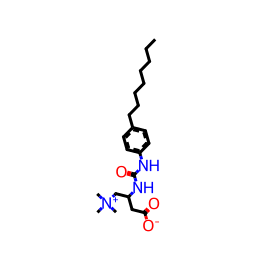 CCCCCCCCc1ccc(NC(=O)NC(CC(=O)[O-])C[N+](C)(C)C)cc1